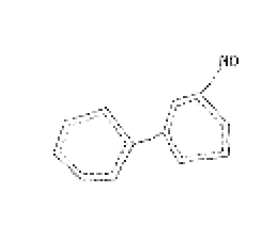 O=Nc1cccc(-c2ccccc2)c1